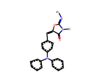 CCN1C(=O)/C(=C\c2ccc(N(c3ccccc3)c3ccccc3)cc2)OC1=NC(C)C